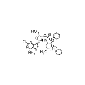 CC(C)CC(NP(=O)(Oc1ccccc1)OC1C[C@H](n2cnc3c(N)nc(Cl)nc32)OC1CO)C(=O)OCc1ccccc1